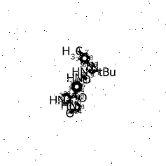 Cc1ccc(-n2nc(C(C)(C)C)cc2NC(=O)Nc2ccc(C(C(=O)[C@@H]3CCC(=O)N3)C3CCNCC3)cc2)cc1